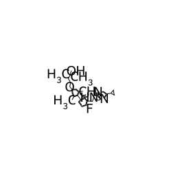 Cc1cc(OCCC(C)(C)O)cc(C)c1-c1ccc(F)c(CNc2cnc(C3CC3)cn2)c1